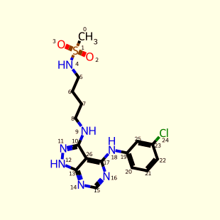 CS(=O)(=O)NCCCCNc1n[nH]c2ncnc(Nc3cccc(Cl)c3)c12